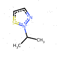 CC(C)[n+]1nccs1